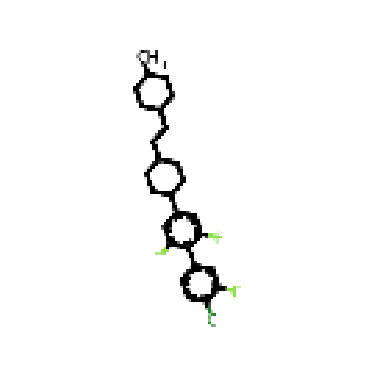 CC1CCC(CCC2CCC(c3cc(F)c(-c4ccc(Cl)c(F)c4)c(F)c3)CC2)CC1